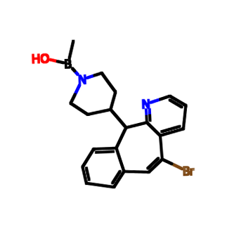 CB(O)N1CCC(C2c3ccccc3C=C(Br)c3cccnc32)CC1